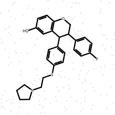 Oc1ccc2c(c1)C(c1ccc(SCCN3CCCC3)cc1)C(c1ccc(F)cc1)CO2